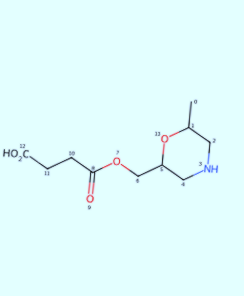 CC1CNCC(COC(=O)CCC(=O)O)O1